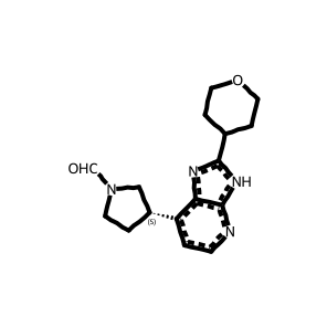 O=CN1CC[C@@H](c2ccnc3[nH]c(C4CCOCC4)nc23)C1